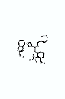 Cc1cccc(CC(OCC(=CF)CN)C2COC2)c1S(=O)(=O)O.Nc1nc2ccccc2o1